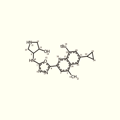 Cc1cc(-c2nnc(NC3CNCC3O)o2)nc2c(C(C)(C)C)cc(C3CC3)cc12